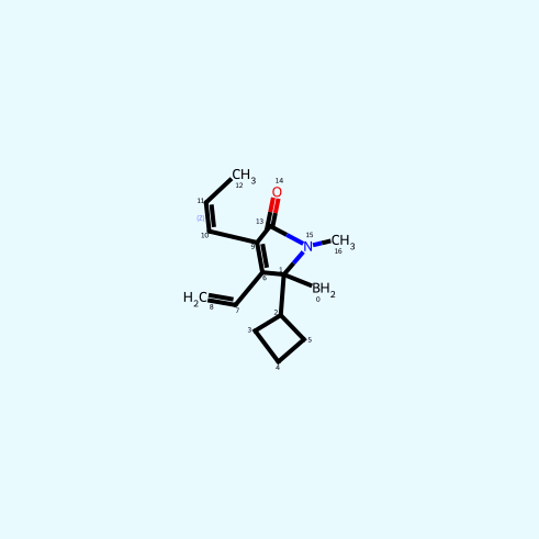 BC1(C2CCC2)C(C=C)=C(/C=C\C)C(=O)N1C